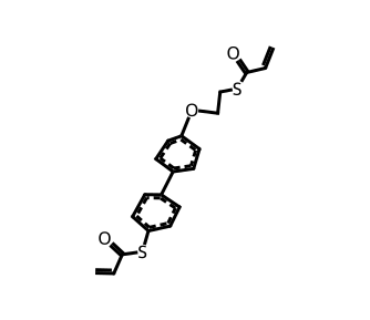 C=CC(=O)SCCOc1ccc(-c2ccc(SC(=O)C=C)cc2)cc1